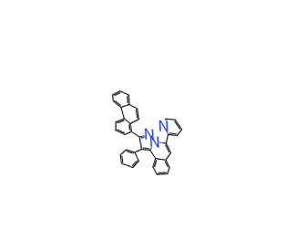 c1ccc(-c2c(-c3cccc4c3ccc3ccccc34)nn3c(-c4ccccn4)cc4ccccc4c23)cc1